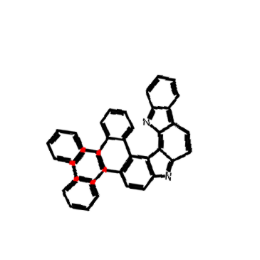 c1ccc(-c2cccc3ccccc23)c(-c2c(-c3cccc4ccccc34)ccc3c2-c2c4c(ccc2=N3)=c2ccccc2=N4)c1